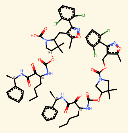 CCCC[C@H](NC(=O)OC1CN(C(=O)OCc2c(-c3c(Cl)cccc3Cl)noc2C)CC1(C)C)C(=O)C(=O)N[C@H](C)c1ccccc1.CCCC[C@H](NC(=O)O[C@@H]1CN(C(=O)O)C(Cc2c(-c3c(Cl)cccc3Cl)noc2C)C1(C)C)C(=O)C(=O)N[C@H](C)c1ccccc1